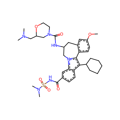 COc1ccc2c(c1)CC(NC(=O)N1CCOC(CN(C)C)C1)Cn1c-2c(C2CCCCC2)c2ccc(C(=O)NS(=O)(=O)N(C)C)cc21